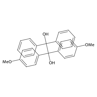 COc1ccc(C(O)(c2ccc(OC)cc2)C(O)(c2ccccc2)c2ccccc2)cc1